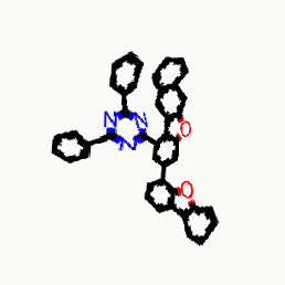 c1ccc(-c2nc(-c3ccccc3)nc(-c3cc(-c4cccc5c4oc4ccccc45)cc4oc5cc6ccccc6cc5c34)n2)cc1